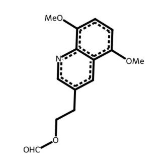 COc1ccc(OC)c2ncc(CCOC=O)cc12